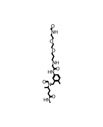 CNC(=O)CCC(C)N(C=O)Cc1cc(NC(=O)CNCCCOCCOCCNC=O)ccc1C